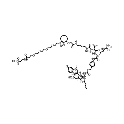 CCCC1O[C@@H]2CC3[C@@H]4C[C@H](F)C5=CC(=O)C=C[C@]5(C)[C@@]4(F)[C@@H](O)C[C@]3(C)[C@]2(C(=O)CNC(=O)OCc2ccc(NC(=O)[C@H](CCCNC(N)=O)NC(=O)[C@@H](NC(=O)[C@H](N)CCCCNC(=O)COC3CCCCCc4c3nnn4CCOCCOCCOCCOCCC(=O)NCCS(=O)(=O)O)C(C)C)cc2)O1